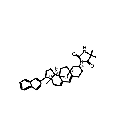 CC1(C)NC(=O)N([C@@H]2CCC3=CC4=CC[C@]5(C)C(c6ccc7ccccc7c6)CC[C@H]5C45CC[C@]3(C2)O5)C1=O